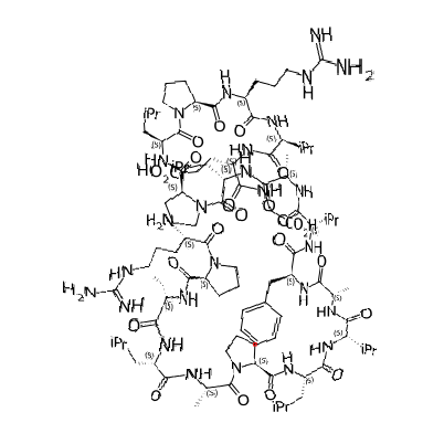 CC(C)C[C@H](NC(=O)[C@H](C)NC(=O)[C@@H]1CCCN1C(=O)[C@@H](N)CCCNC(=N)N)C(=O)N[C@@H](C)C(=O)N1CCC[C@H]1C(=O)N[C@@H](CC(C)C)C(=O)N[C@H](C(=O)N[C@@H](C)C(=O)N[C@@H](Cc1ccccc1)C(=O)N[C@H](C(=O)N[C@@H](C)C(=O)N[C@@H](CC(C)C)C(=O)N1CCC[C@H]1C(=O)N[C@@H](CC(C)C)C(=O)N1CCC[C@H]1C(=O)N[C@@H](CCCNC(=N)N)C(=O)N[C@H](C(=O)N[C@@H](CCC(=O)O)C(=O)NCC(=O)O)C(C)C)C(C)C)C(C)C